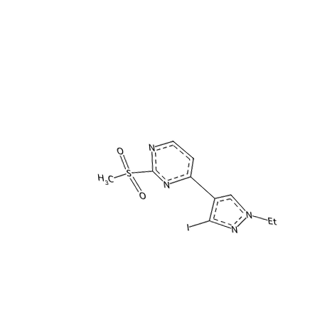 CCn1cc(-c2ccnc(S(C)(=O)=O)n2)c(I)n1